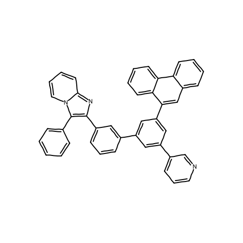 c1ccc(-c2c(-c3cccc(-c4cc(-c5cccnc5)cc(-c5cc6ccccc6c6ccccc56)c4)c3)nc3ccccn23)cc1